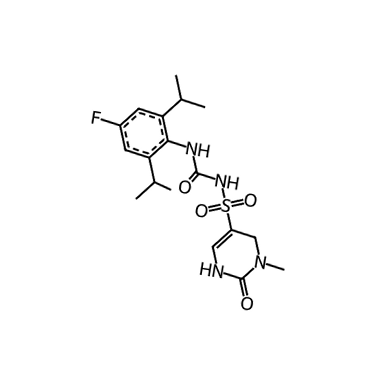 CC(C)c1cc(F)cc(C(C)C)c1NC(=O)NS(=O)(=O)C1=CNC(=O)N(C)C1